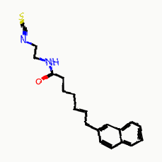 O=C(CCCCCCc1ccc2ccccc2c1)NCCN=C=S